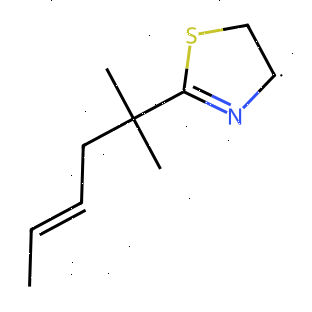 CC=CCC(C)(C)C1=N[CH]CS1